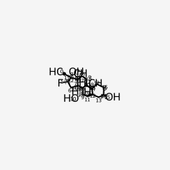 C#C[C@]1(O)[C@H](F)C[C@H]2[C@@H]3[C@@H](O)C=C4C[C@H](O)CC[C@]4(C)[C@H]3CC[C@@]21C